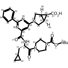 CCCCOC(=O)N1CCN(C(=O)[C@H](CC2CC2)NC(=O)c2cc(N3C[C@@H]4[C@H](C3)[C@@H]4C(=O)O)nc(-c3ccccc3)n2)CC1